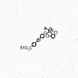 CCOC(=O)c1ccc(C2CN(c3ccc(OCc4c(-c5c(Cl)cccc5Cl)noc4C4CC4)cc3)C2)cc1